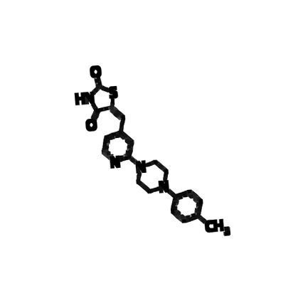 Cc1ccc(N2CCN(c3cc(/C=C4/SC(=O)NC4=O)ccn3)CC2)cc1